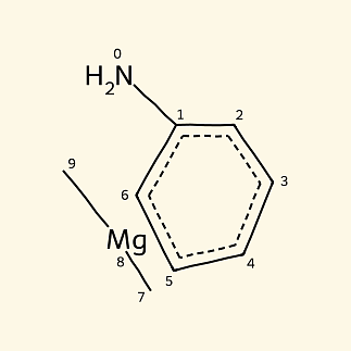 Nc1ccccc1.[CH3][Mg][CH3]